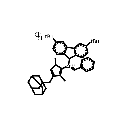 CC1=[C](/[Zr+2](=[CH]/c2ccccc2)[CH]2c3ccc(C(C)(C)C)cc3-c3cc(C(C)(C)C)ccc32)C(C)C=C1CC12CC3CC(CC(C3)C1)C2.[Cl-].[Cl-]